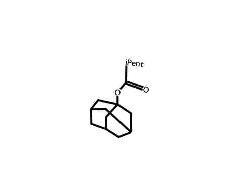 [CH2]C(CCC)C(=O)OC12CC3CC(CC(C3)C1)C2